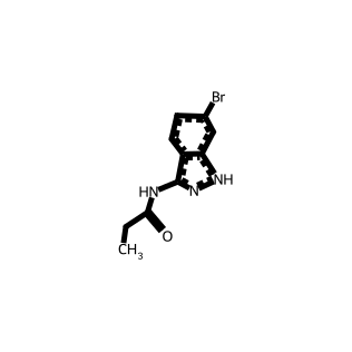 CCC(=O)Nc1n[nH]c2cc(Br)ccc12